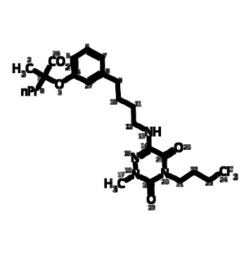 CCCC(C)(Oc1cccc(CCCCNc2nn(C)c(=O)n(CCCC(F)(F)F)c2=O)c1)C(=O)O